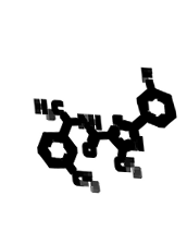 CC(NC(=O)c1sc(-c2cccc(F)c2)nc1C(F)(F)F)c1cccc(C(F)(F)F)c1